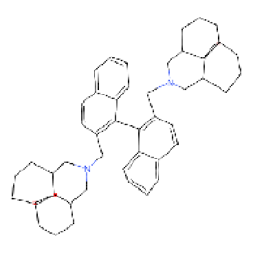 c1ccc2c(-c3c(CN(CC4CCCCC4)CC4CCCCC4)ccc4ccccc34)c(CN(CC3CCCCC3)CC3CCCCC3)ccc2c1